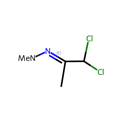 CN/N=C(\C)C(Cl)Cl